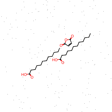 CCCCCCCCCCCC(=O)O.CCCCCCCCCCCC(=O)O.O=C1C=CC(=O)O1